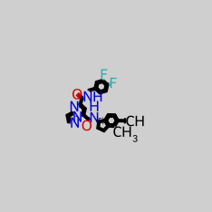 C#Cc1ccc2c(c1C)CC[C@@H]2NC(=O)c1cc(C(=O)NCc2ccc(F)c(F)c2)nc2ccnn12